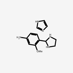 COc1cc(N)ccc1C1NCCN1.c1c[nH]cn1